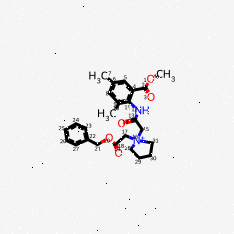 COC(=O)c1cc(C)cc(C)c1NC(=O)C[N+]1(CC(=O)OCc2ccccc2)CCCC1